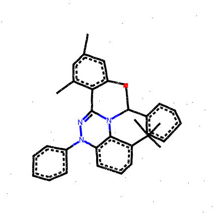 Cc1cc(C)c(C2=NN(c3ccccc3)c3cccc(C(C)(C)C)c3N2C(C)c2ccccc2)c(C)c1